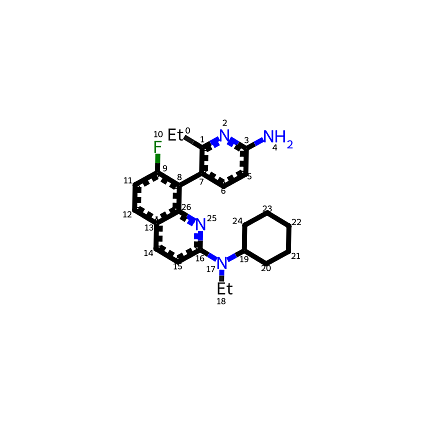 CCc1nc(N)ccc1-c1c(F)ccc2ccc(N(CC)C3CCCCC3)nc12